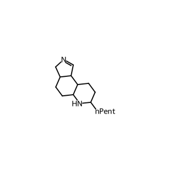 CCCCCC1CCC2C(CCC3CN=CC32)N1